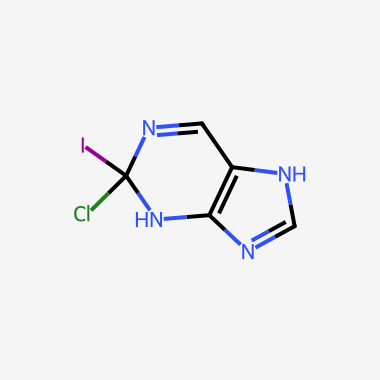 ClC1(I)N=Cc2[nH]cnc2N1